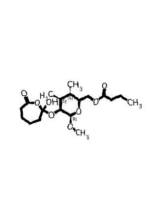 CCCC(=O)OCC1O[C@@H](OC)C(OC2(O)CCCCC(=O)O2)[C@@H](C)[C@@H]1C